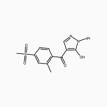 Cc1cc(S(C)(=O)=O)ccc1C(=O)c1cnn(C(C)C)c1O